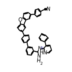 N#Cc1ccc(-c2ccc3oc4ccc(-c5ccc(-c6cccc(C(N)/N=c7\[nH]cccc7-c7ccccc7)c6)cc5)cc4c3c2)cc1